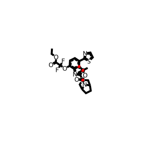 CCOC(=O)C(F)(F)Oc1ccc(-c2nccs2)c2oc(N3CC4CCC(C3)N4C(=O)OC(C)(C)C)nc12